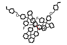 C=Cc1ccc(COc2ccc(C3(c4ccc(F)cc4)c4ccccc4-c4ccc(N(c5ccc(F)c(C)c5)c5ccc6c(c5)C5(c7ccccc7-6)c6ccccc6-c6ccc(N(c7ccc(F)c(C)c7)c7ccc8c(c7)C(c7ccc(F)cc7)(c7ccc(OCc9ccc(C=C)cc9)cc7)c7ccccc7-8)cc65)cc43)cc2)cc1